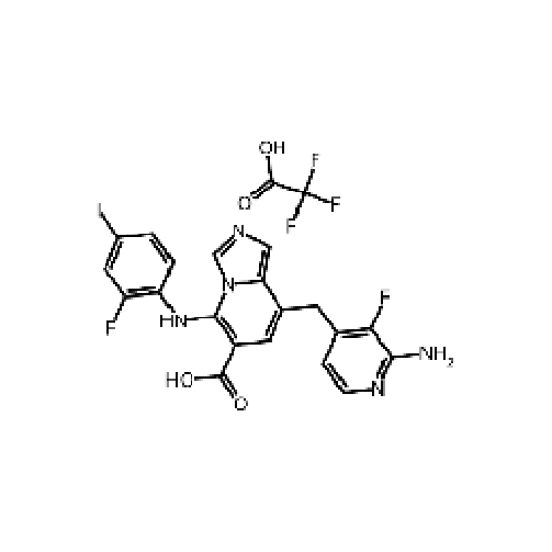 Nc1nccc(Cc2cc(C(=O)O)c(Nc3ccc(I)cc3F)n3cncc23)c1F.O=C(O)C(F)(F)F